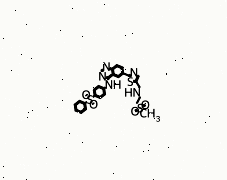 CS(=O)(=O)CCNCc1cnc(-c2ccc3ncnc(Nc4ccc(S(=O)(=O)c5ccccc5)cc4)c3c2)s1